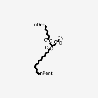 CCCCC/C=C\C/C=C\CCCCCCCC(=O)OC(COC(=O)C#N)COC(=O)CCCCCCCCCCCCCCC